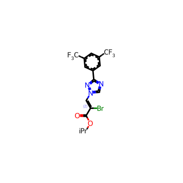 CC(C)OC(=O)/C(Br)=C/n1cnc(-c2cc(C(F)(F)F)cc(C(F)(F)F)c2)n1